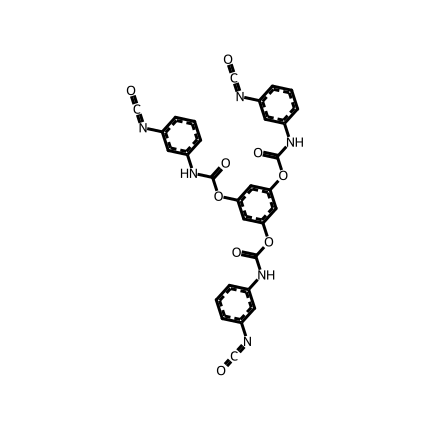 O=C=Nc1cccc(NC(=O)Oc2cc(OC(=O)Nc3cccc(N=C=O)c3)cc(OC(=O)Nc3cccc(N=C=O)c3)c2)c1